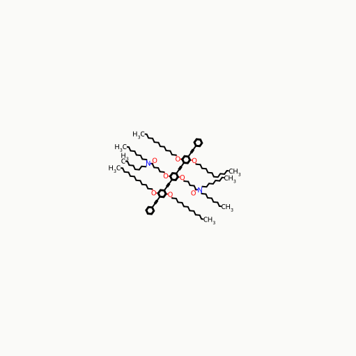 CCCCCCCCCCCCOc1cc(C#Cc2cc(OCCCCC(=O)N(CCCCCCCC)CCCCCCCC)c(C#Cc3cc(OCCCCCCCCCCCC)c(C#Cc4ccccc4)cc3OCCCCCCCCCCCC)cc2OCCCCC(=O)N(CCCCCCCC)CCCCCCCC)c(OCCCCCCCCCCCC)cc1C#Cc1ccccc1